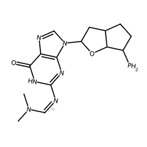 CN(C)/C=N\c1nc2c(ncn2C2CC3CCC(P)C3O2)c(=O)[nH]1